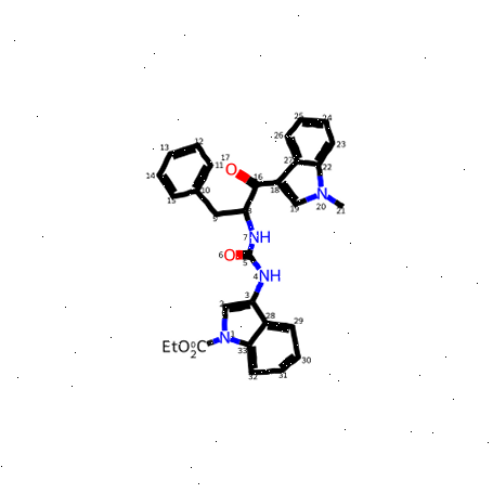 CCOC(=O)n1cc(NC(=O)NC(Cc2ccccc2)C(=O)c2cn(C)c3ccccc23)c2ccccc21